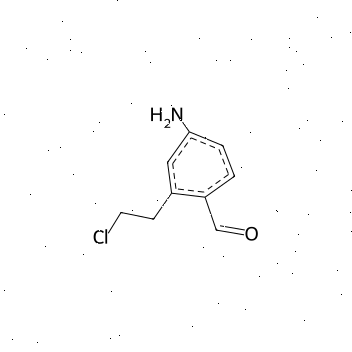 Nc1ccc(C=O)c(CCCl)c1